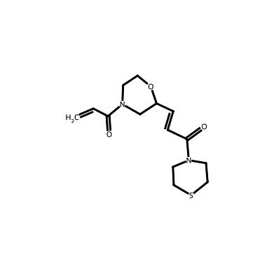 C=CC(=O)N1CCOC(/C=C/C(=O)N2CCSCC2)C1